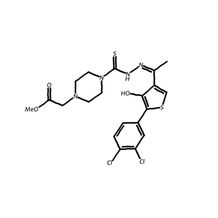 COC(=O)CN1CCN(C(=S)NN=C(C)c2csc(-c3ccc(Cl)c(Cl)c3)c2O)CC1